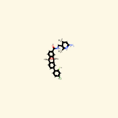 Cc1cc(N)nc(C)c1CNC(=O)c1ccc2c(c1)[C@@H]1O[C@H]2c2ccc(-c3ccc(Cl)cc3F)cc21